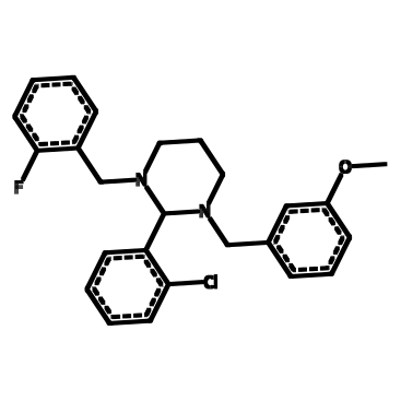 COc1cccc(CN2CCCN(Cc3ccccc3F)C2c2ccccc2Cl)c1